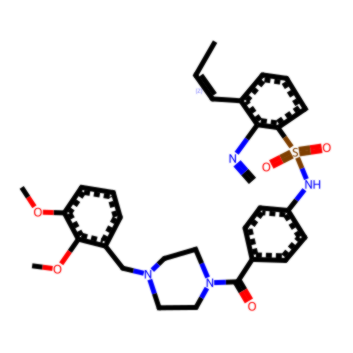 C=Nc1c(/C=C\C)cccc1S(=O)(=O)Nc1ccc(C(=O)N2CCN(Cc3cccc(OC)c3OC)CC2)cc1